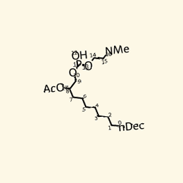 CCCCCCCCCCCCCCCCCC(COP(O)OCCNC)OC(C)=O